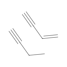 C#CC=C.C#CCC